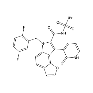 CC(C)S(=O)(=O)NC(=O)c1c(-c2ccc[nH]c2=O)c2c3occc3ccc2n1Cc1cc(F)ccc1F